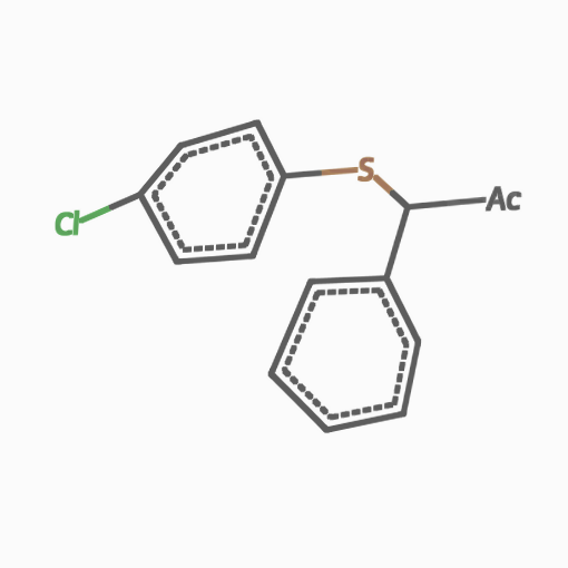 CC(=O)C(Sc1ccc(Cl)cc1)c1ccccc1